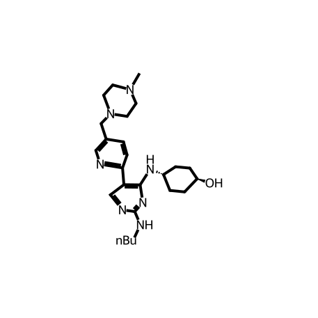 CCCCNc1ncc(-c2ccc(CN3CCN(C)CC3)cn2)c(N[C@H]2CC[C@H](O)CC2)n1